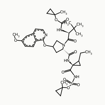 CCC1C[C@]1(NC(=O)[C@@H]1CC(Oc2nccc3cc(OC)ccc23)CN1C(=O)[C@@H](NC(=O)OC1(C)CC1)C(C)(C)C)C(=O)NS(=O)(=O)OC1(C)CC1